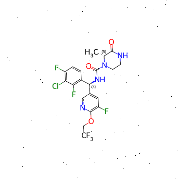 C[C@@H]1C(=O)NCCN1C(=O)N[C@@H](c1cnc(OCC(F)(F)F)c(F)c1)c1ccc(F)c(Cl)c1F